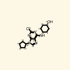 O[C@H]1CC[C@H](Nc2nc(Cl)nc3c2ncn3C2CCCC2)CC1